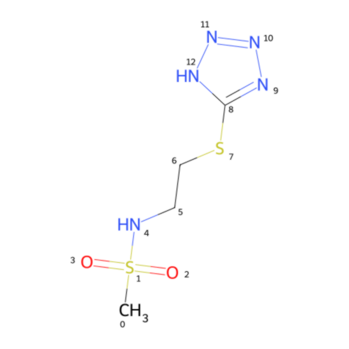 CS(=O)(=O)NCCSc1nnn[nH]1